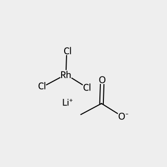 CC(=O)[O-].[Cl][Rh]([Cl])[Cl].[Li+]